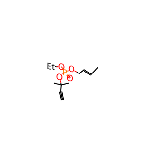 C#CC(C)(C)OP(=O)(OCC)OC/C=C/C